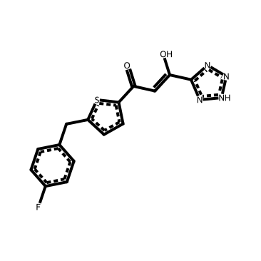 O=C(C=C(O)c1nn[nH]n1)c1ccc(Cc2ccc(F)cc2)s1